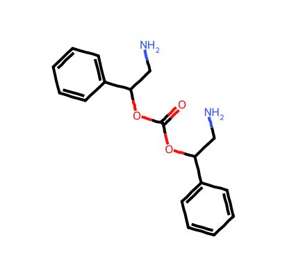 NCC(OC(=O)OC(CN)c1ccccc1)c1ccccc1